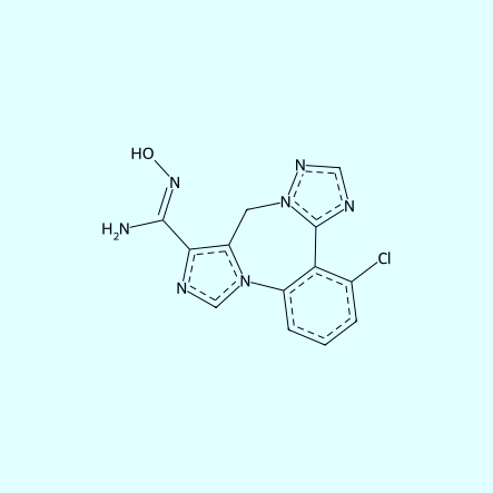 NC(=NO)c1ncn2c1Cn1ncnc1-c1c(Cl)cccc1-2